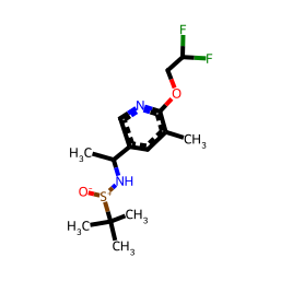 Cc1cc(C(C)N[S+]([O-])C(C)(C)C)cnc1OCC(F)F